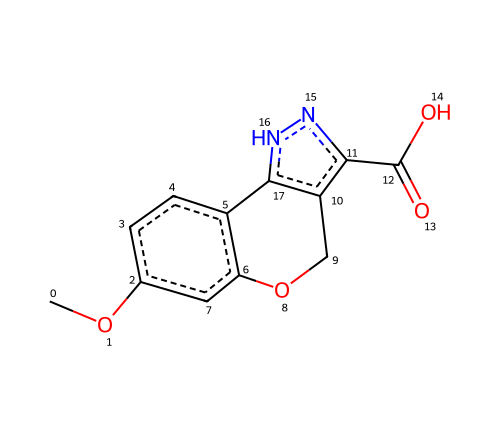 COc1ccc2c(c1)OCc1c(C(=O)O)n[nH]c1-2